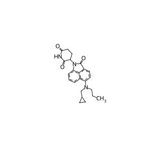 CCCN(CC1CC1)c1ccc2c3c(cccc13)N(C1CCC(=O)NC1=O)C2=O